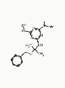 CCCNc1nc(NCCC)nc(NC(C)(C)OCc2ccccc2)n1